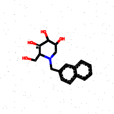 OCC1[C@@H](O)C(O)C(O)CN1Cc1ccc2ccccc2c1